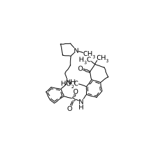 CN1CCCC1CCNc1ccccc1S(=O)(=O)Nc1ccc2c(c1C(=O)O)C(=O)C(C)(C)CC2